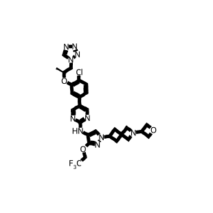 C[C@@H](Cn1cnnn1)Oc1cc(-c2cnc(Nc3cn(C4CC5(C4)CN(C4COC4)C5)nc3OCC(F)(F)F)nc2)ccc1Cl